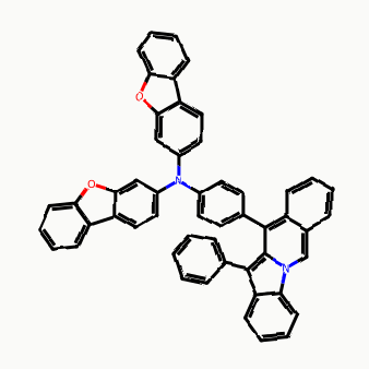 c1ccc(-c2c3ccccc3n3cc4ccccc4c(-c4ccc(N(c5ccc6c(c5)oc5ccccc56)c5ccc6c(c5)oc5ccccc56)cc4)c23)cc1